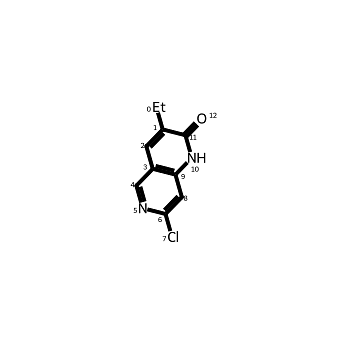 CCc1cc2cnc(Cl)cc2[nH]c1=O